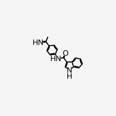 CC(=N)c1ccc(NC(=O)c2c[nH]c3ccccc23)cc1